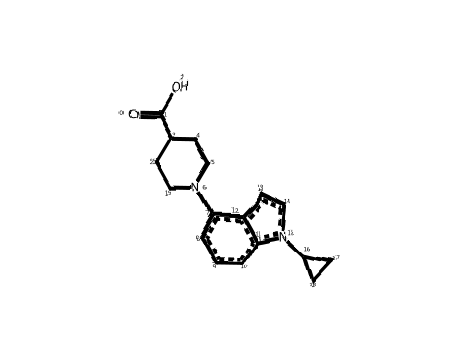 O=C(O)C1CCN(c2c[c]cc3c2ccn3C2CC2)CC1